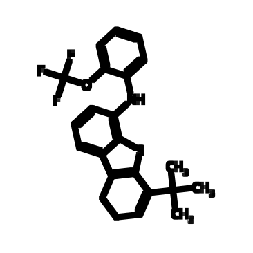 CC(C)(C)C1=CCCc2c1sc1c(Nc3ccccc3OC(F)(F)F)cccc21